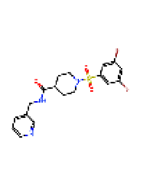 O=C(NCc1cccnc1)C1CCN(S(=O)(=O)c2cc(Br)cc(Br)c2)CC1